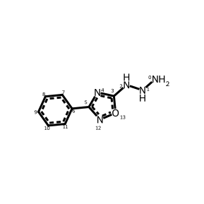 NNNc1nc(-c2ccccc2)no1